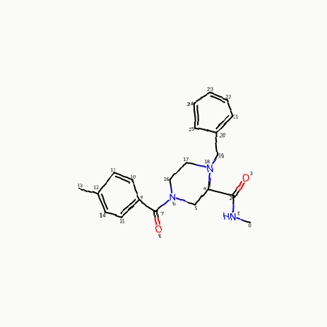 CNC(=O)C1CN(C(=O)c2ccc(C)cc2)CCN1Cc1ccccc1